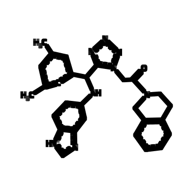 Cc1cc(C)cc(C(Nc2ccc3[nH]cnc3c2)c2nnnn2CC(=O)N2CCc3ccccc3C2)c1